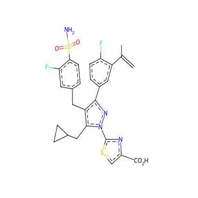 C=C(C)c1cc(-c2nn(-c3nc(C(=O)O)cs3)c(CC3CC3)c2Cc2ccc(S(N)(=O)=O)c(F)c2)ccc1F